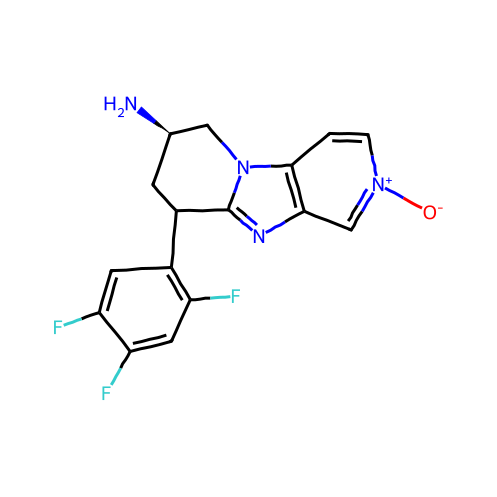 N[C@@H]1CC(c2cc(F)c(F)cc2F)c2nc3c[n+]([O-])ccc3n2C1